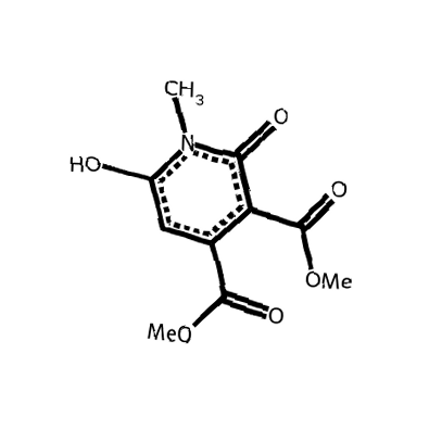 COC(=O)c1cc(O)n(C)c(=O)c1C(=O)OC